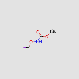 CC(C)(C)OC(=O)NOCI